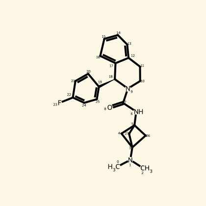 CN(C)C12CC(NC(=O)N3CCc4ccccc4[C@@H]3c3ccc(F)cc3)(C1)C2